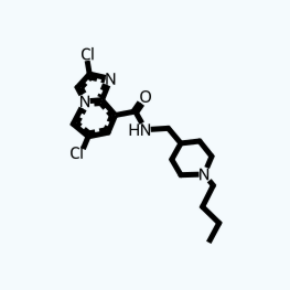 CCCCN1CCC(CNC(=O)c2cc(Cl)cn3cc(Cl)nc23)CC1